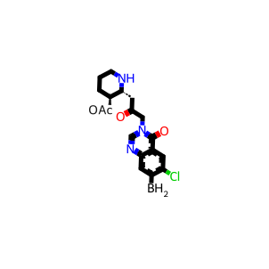 Bc1cc2ncn(CC(=O)C[C@H]3NCCC[C@@H]3OC(C)=O)c(=O)c2cc1Cl